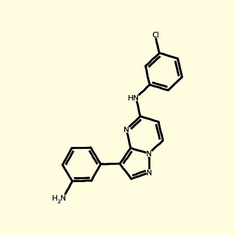 Nc1cccc(-c2cnn3ccc(Nc4cccc(Cl)c4)nc23)c1